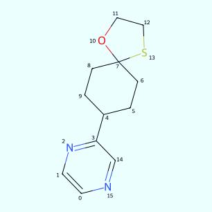 c1cnc(C2CCC3(CC2)OCCS3)cn1